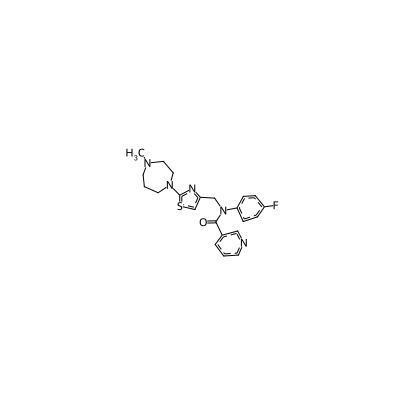 CN1CCCN(c2nc(CN(C(=O)c3cccnc3)c3ccc(F)cc3)cs2)CC1